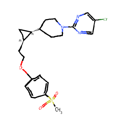 CS(=O)(=O)c1ccc(OCC[C@H]2C[C@@H]2C2CCN(c3ncc(Cl)cn3)CC2)cc1